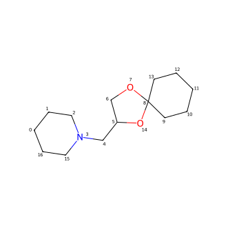 C1CCN(CC2COC3(CCCCC3)O2)CC1